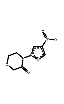 O=C1COCCN1n1cc([N+](=O)[O-])cn1